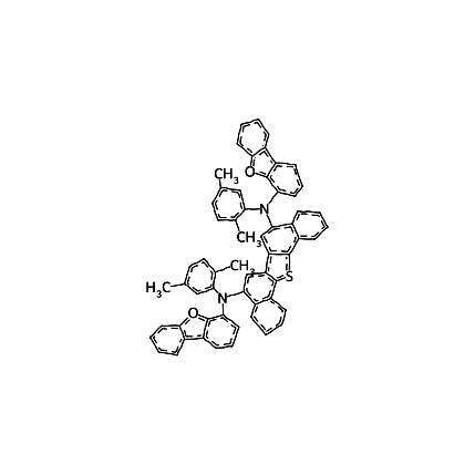 Cc1ccc(C)c(N(c2cc3c4cc(N(c5cc(C)ccc5C)c5cccc6c5oc5ccccc56)c5ccccc5c4sc3c3ccccc23)c2cccc3c2oc2ccccc23)c1